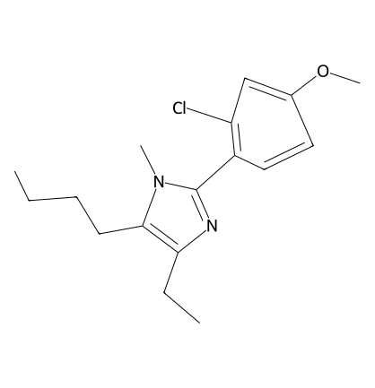 CCCCc1c(CC)nc(-c2ccc(OC)cc2Cl)n1C